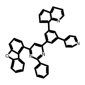 c1ccc(-c2nc(-c3cc(-c4ccncc4)cc(-c4cccc5cccnc45)c3)cc(-c3cccc4oc5ccccc5c34)n2)cc1